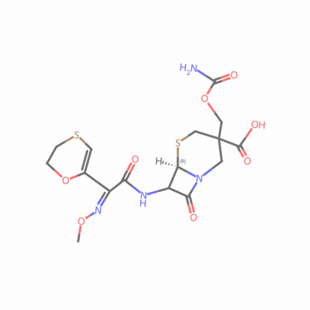 CON=C(C(=O)NC1C(=O)N2CC(COC(N)=O)(C(=O)O)CS[C@H]12)C1=CSCCO1